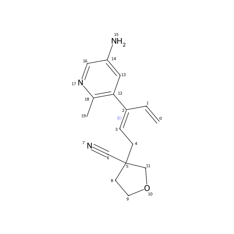 C=C/C(=C\CC1(C#N)CCOC1)c1cc(N)cnc1C